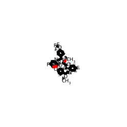 CCOC(c1ccc(OC(F)(F)F)cc1)c1nc2cc(F)ccc2n1OC(=O)C(=O)On1c(C(OCC)c2ccc(OC(F)(F)F)cc2)nc2cc(F)ccc21